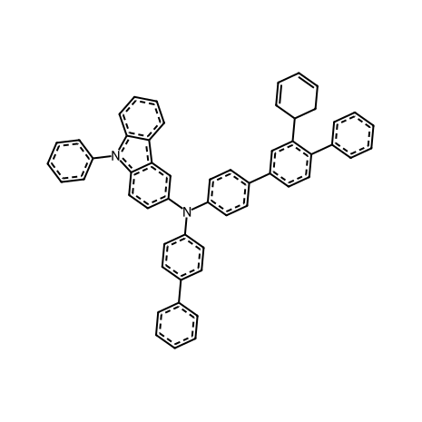 C1=CCC(c2cc(-c3ccc(N(c4ccc(-c5ccccc5)cc4)c4ccc5c(c4)c4ccccc4n5-c4ccccc4)cc3)ccc2-c2ccccc2)C=C1